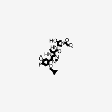 COCC(=O)N1C[C@H](O)[C@H](NC(=O)c2c(C)[nH]c3c(-c4cc(OC)c(F)cc4OCC4CC4)ncnc23)C1